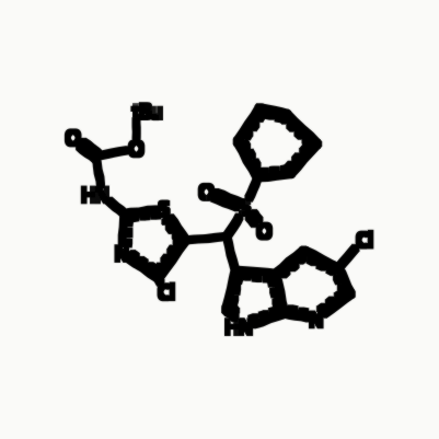 CC(C)(C)OC(=O)Nc1nc(Cl)c(C(c2c[nH]c3ncc(Cl)cc23)S(=O)(=O)c2ccccc2)s1